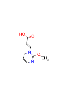 COC1=NC=CCN1C=CC(=O)O